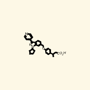 CC(CC(=O)O)c1ccc(OCc2ccc3c(-c4ccncc4)nn(C4CCCC4)c3c2)cc1